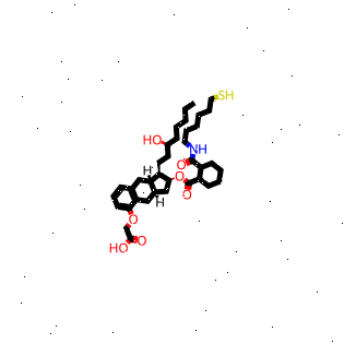 CCCCC[C@H](O)CC[C@@H]1[C@H]2Cc3cccc(OCC(=O)O)c3C[C@H]2C[C@H]1OC(=O)C1CCCCC1C(=O)NCCCCCCS